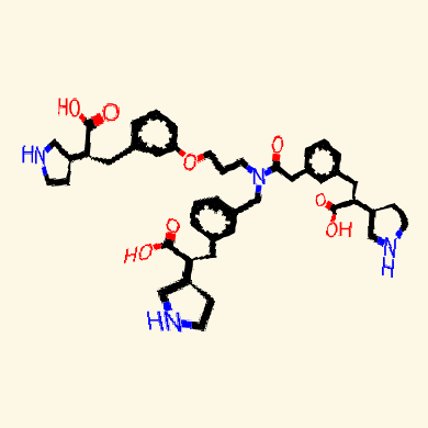 O=C(O)[C@@H](Cc1cccc(CC(=O)N(CCCOc2cccc(C[C@H](C(=O)O)[C@H]3CCNC3)c2)Cc2cccc(C[C@H](C(=O)O)[C@H]3CCNC3)c2)c1)[C@H]1CCNC1